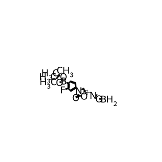 BOC=NC[C@H]1CN(c2ccc(B3OC(C)(C)C(C)(C)O3)c(F)c2)C(=O)O1